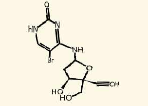 C#C[C@]1(CO)OC(Nc2nc(=O)[nH]cc2Br)C[C@@H]1O